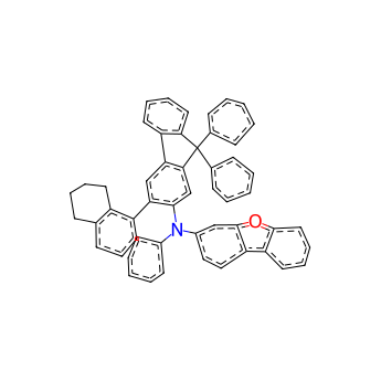 c1ccc(N(c2ccc3c(c2)oc2ccccc23)c2cc3c(cc2-c2cccc4c2CCCC4)-c2ccccc2C3(c2ccccc2)c2ccccc2)cc1